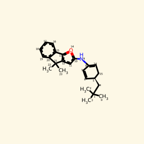 CC(C)(C)C[C@H]1C=CC(Nc2cc3c(o2)-c2ccccc2C3(C)C)=CC1